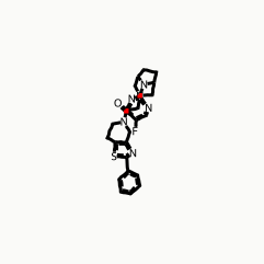 O=C(CN1CC2CCC(C1)N2c1ncc(F)cn1)N1CCc2sc(-c3ccccc3)nc2C1